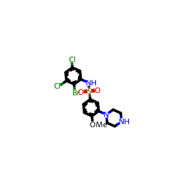 COc1ccc(S(=O)(=O)Nc2cc(Cl)cc(Cl)c2Br)cc1N1CCNCC1